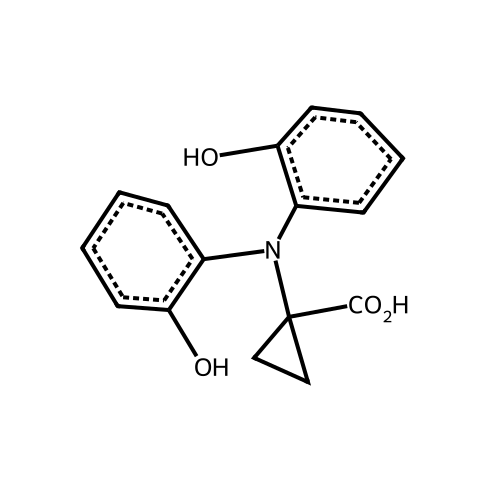 O=C(O)C1(N(c2ccccc2O)c2ccccc2O)CC1